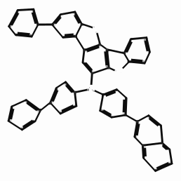 c1ccc(-c2ccc(N(c3ccc(-c4ccc5ccccc5c4)cc3)c3cc4c5cc(-c6ccccc6)ccc5sc4c4c3oc3ccccc34)cc2)cc1